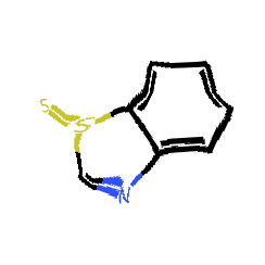 S=S1C=Nc2ccccc21